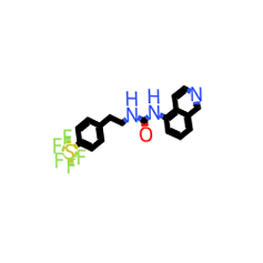 O=C(NCCc1ccc(S(F)(F)(F)(F)F)cc1)Nc1cccc2cnccc12